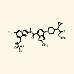 CCS(=O)(=O)NCc1nc(C)cn2cc(NC(=O)c3ccc(N4CCC(N(C(=O)OC(C)(C)C)C5CC5)CC4)c4cn(C)nc34)nc12